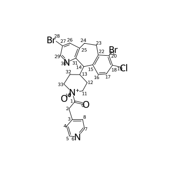 O=C(Cc1ccncc1)[N+]1([O-])CCC(C2c3ccc(Cl)c(Br)c3CCc3cc(Br)cnc32)CC1